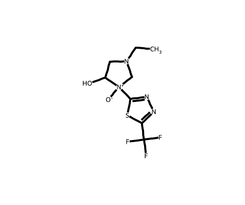 CCN1CC(O)[N+]([O-])(c2nnc(C(F)(F)F)s2)C1